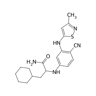 Cc1cc(Nc2cc(NC(CC3CCCCC3)C(N)=O)ccc2C#N)sn1